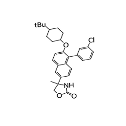 CC1(c2ccc3c(-c4cccc(Cl)c4)c(OC4CCC(C(C)(C)C)CC4)ccc3c2)COC(=O)N1